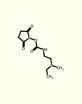 CCN(C)CCNC(=O)ON1C(=O)CCC1=O